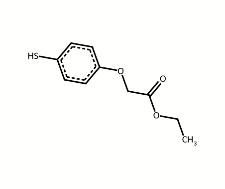 CCOC(=O)COc1ccc(S)cc1